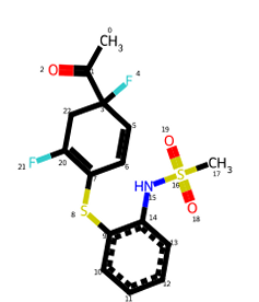 CC(=O)C1(F)C=CC(Sc2ccccc2NS(C)(=O)=O)=C(F)C1